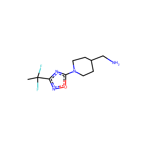 CC(F)(F)c1noc(N2CCC(CN)CC2)n1